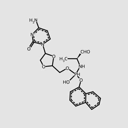 C[C@@H](C=O)N[PH](O)(OCC1OCC(n2ccc(N)nc2=O)O1)Oc1cccc2ccccc12